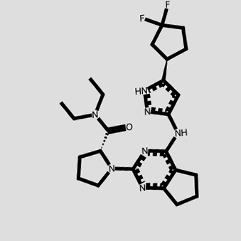 CCN(CC)C(=O)[C@H]1CCCN1c1nc2c(c(Nc3cc([C@@H]4CCC(F)(F)C4)[nH]n3)n1)CCC2